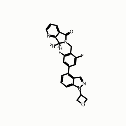 [2H]C1([2H])c2ncccc2C(=O)N1Cc1c(F)cc(-c2cccc3c2cnn3C2COC2)cc1F